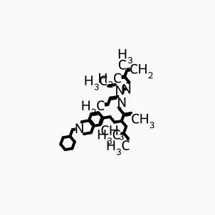 C=C\C=C(/N=C/C(=C/C)C(CCc1ccc2c(c1C)CCN(CC1CCCCC1)C2)CC(C)CC)N(CCC)/N=C\C(=C)C(=C)C